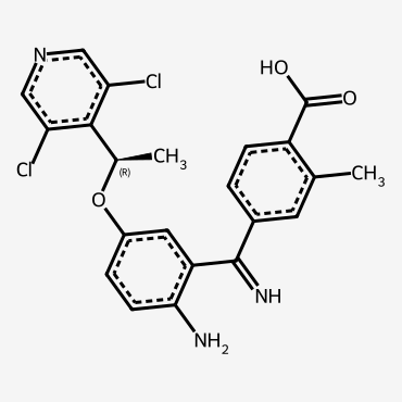 Cc1cc(C(=N)c2cc(O[C@H](C)c3c(Cl)cncc3Cl)ccc2N)ccc1C(=O)O